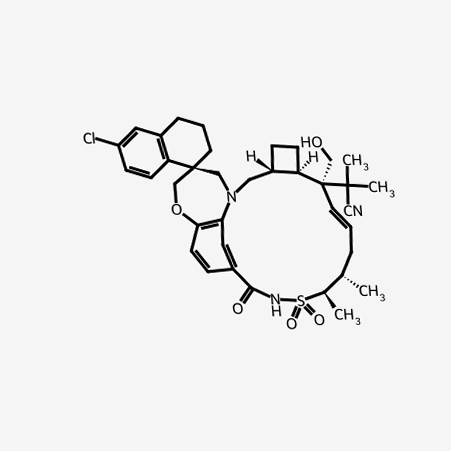 C[C@@H]1[C@@H](C)C/C=C/[C@](CO)(C(C)(C)C#N)[C@@H]2CC[C@H]2CN2C[C@@]3(CCCc4cc(Cl)ccc43)COc3ccc(cc32)C(=O)NS1(=O)=O